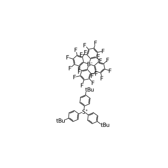 CC(C)(C)c1ccc([S+](c2ccc(C(C)(C)C)cc2)c2ccc(C(C)(C)C)cc2)cc1.Fc1c(F)c(F)c([B-](c2c(F)c(F)c(F)c(F)c2F)(c2c(F)c(F)c(F)c(F)c2F)c2c(F)c(F)c(F)c(F)c2F)c(F)c1F